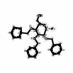 OC[C@H]1O[C@H](F)[C@H](OCc2ccccc2)[C@@H](OCc2ccccc2)[C@H]1OCc1ccccc1